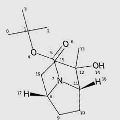 CC(C)(C)OC(=O)N1[C@@H]2CC[C@H]1C(C)(O)CC2